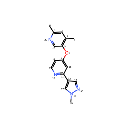 Cc1cc(C)c(Oc2ccnc(-c3cnn(C)c3)c2)cn1